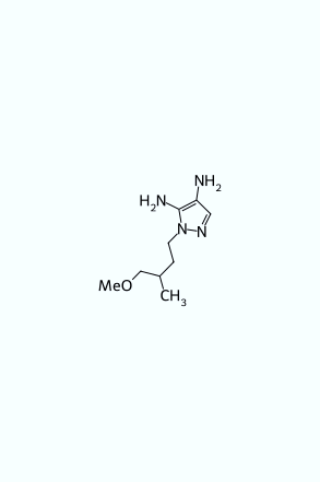 COCC(C)CCn1ncc(N)c1N